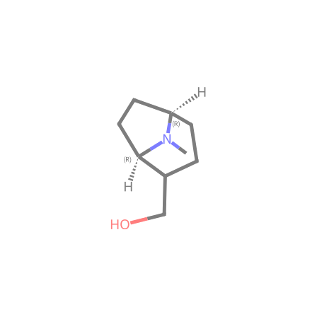 CN1[C@@H]2CCC(CO)[C@H]1CC2